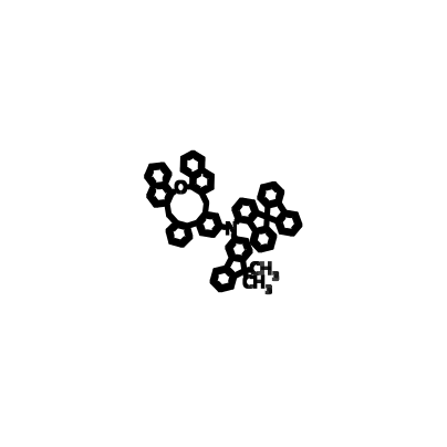 CC1(C)c2ccccc2-c2cc(N(c3ccc4c(c3)Cc3ccc5ccccc5c3Oc3c(ccc5ccccc35)Cc3ccccc3-4)c3cccc4c3-c3ccccc3C43c4ccccc4-c4ccccc43)ccc21